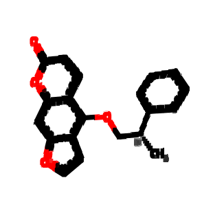 C[C@H](COc1c2ccoc2cc2oc(=O)ccc12)c1ccccc1